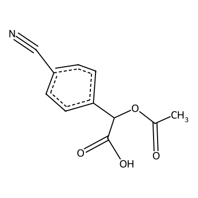 CC(=O)OC(C(=O)O)c1ccc(C#N)cc1